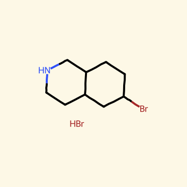 Br.BrC1CCC2CNCCC2C1